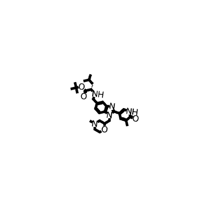 Cc1cc(-c2nc3cc(CN[C@@H](CC(C)C)C(=O)OC(C)(C)C)ccc3n2CC2CN(C)CCO2)c[nH]c1=O